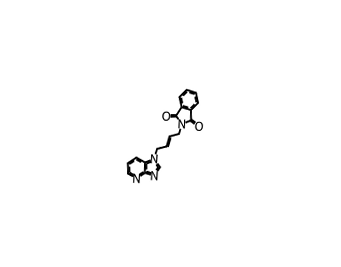 O=C1c2ccccc2C(=O)N1CC=CCn1cnc2ncccc21